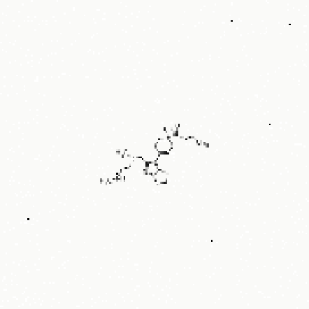 CCOC(=O)C1(C)CC=C(c2c(CN(C)CCNC)nn3c2CCC3)CC1